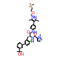 Cc1nn(COCCS(C)(C)C)c(C)c1-c1ccc(NC(=O)[C@H](Cc2cc(-c3cccc(C(C)(C)O)c3)ccc2Cl)NC(=O)c2ccnn2C)cc1